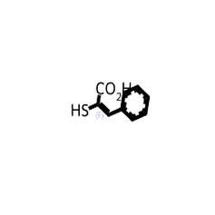 O=C(O)/C(S)=C\c1ccccc1